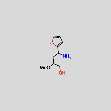 COC(CO)CC(N)c1ccco1